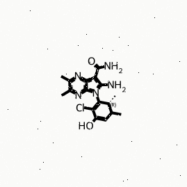 Cc1nc2c(C(N)=O)c(N)n(C3=C(Cl)C(O)=CC(C)[C@H]3C)c2nc1C